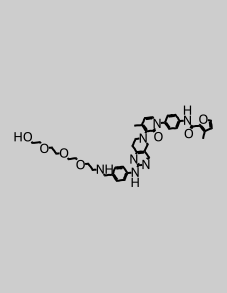 Cc1ccoc1C(=O)Nc1ccc(-n2ccc(C)c(N3CCc4nc(Nc5ccc(CNCCOCCOCCOCCO)cc5)ncc4C3)c2=O)cc1